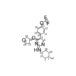 C[C@H]1CC[C@H](Nc2ncc(-c3ccc(OC(F)F)cc3)c(O[C@@H]3CCOC3)n2)CC1